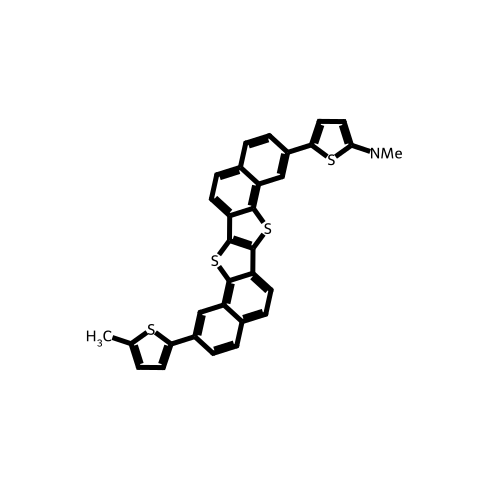 CNc1ccc(-c2ccc3ccc4c(sc5c6ccc7ccc(-c8ccc(C)s8)cc7c6sc45)c3c2)s1